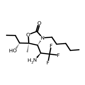 CCCCCN1C(=O)O[C@](C)([C@H](O)CC)[C@H]1[C@H](N)C(F)(F)F